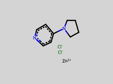 [Cl-].[Cl-].[Zn+2].c1cc(N2CCCC2)ccn1